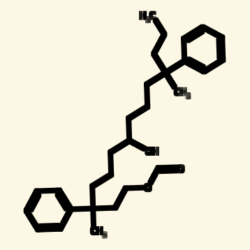 CCCC(C)(CCCC(O)CCCC(C)(CCOC=O)c1ccccc1)c1ccccc1